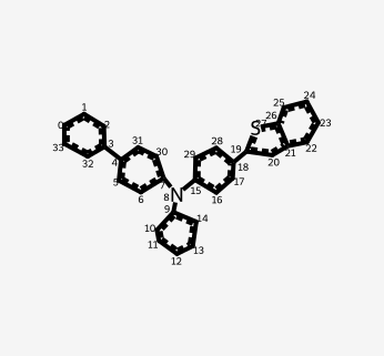 c1ccc(-c2ccc(N(c3ccccc3)c3ccc(-c4cc5ccccc5s4)cc3)cc2)cc1